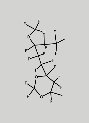 CC(F)(F)C1(F)OC(F)(F)OC1(F)C(F)(F)C(F)(F)C1(F)OC(F)(F)OC(C)(F)C1(F)F